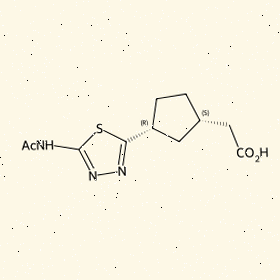 CC(=O)Nc1nnc([C@@H]2CC[C@H](CC(=O)O)C2)s1